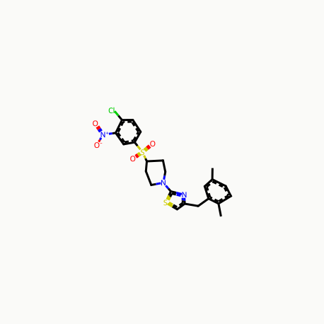 Cc1ccc(C)c(Cc2csc(N3CCC(S(=O)(=O)c4ccc(Cl)c([N+](=O)[O-])c4)CC3)n2)c1